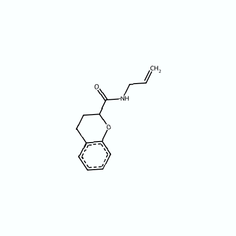 C=CCNC(=O)C1CCc2ccccc2O1